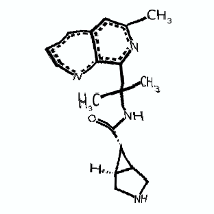 Cc1cc2cccnc2c(C(C)(C)NC(=O)[C@@H]2C3CNC[C@H]32)n1